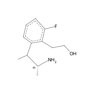 CC(c1cccc(F)c1CCO)[C@@H](C)N